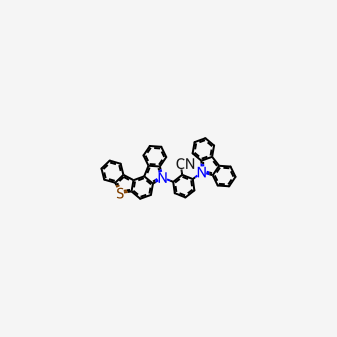 N#Cc1c(-n2c3ccccc3c3ccccc32)cccc1-n1c2ccccc2c2c3c(ccc21)sc1ccccc13